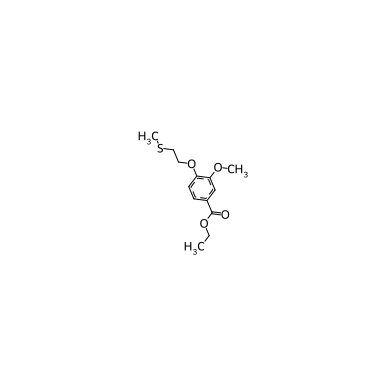 CCOC(=O)c1ccc(OCCSC)c(OC)c1